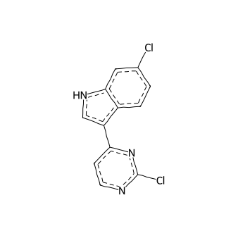 Clc1ccc2c(-c3ccnc(Cl)n3)c[nH]c2c1